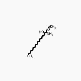 CCCCCCCCCCCCCC=CC(O)C(N)COOC